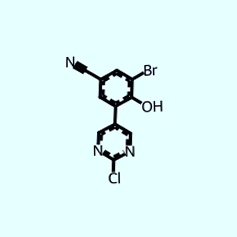 N#Cc1cc(Br)c(O)c(-c2cnc(Cl)nc2)c1